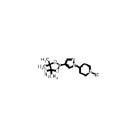 CCN1CCC(n2cc(B3OC(C)(C)C(C)(C)O3)cn2)CC1